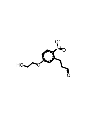 O=CCCc1cc(OCCO)ccc1[N+](=O)[O-]